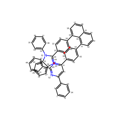 c1ccc(-c2cc(-c3ccc(-c4cccc5cccc(-c6ccc(-c7nc8ccccc8n7-c7ccccc7)cc6)c45)cc3)nc(-c3ccccc3)n2)cc1